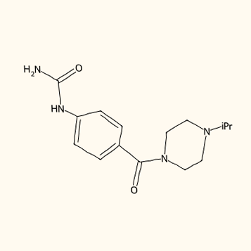 CC(C)N1CCN(C(=O)c2ccc(NC(N)=O)cc2)CC1